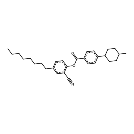 CCCCCCCCc1ccc(OC(=O)c2ccc(C3CCC(C)CC3)cc2)c(C#N)c1